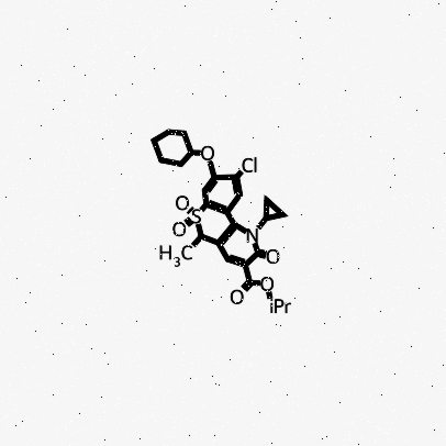 CC(C)OC(=O)c1cc2c(n(C3CC3)c1=O)-c1cc(Cl)c(OC3CCCCC3)cc1S(=O)(=O)C2C